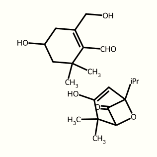 CC(C)C12C=C(O)C(C)(C)C(O1)C2=O.CC1(C)CC(O)CC(CO)=C1C=O